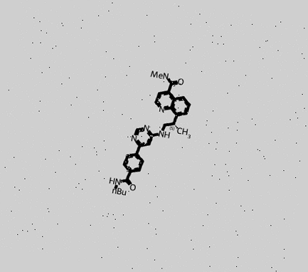 CCCCNC(=O)c1ccc(-c2cc(NC[C@@H](C)c3cccc4c(C(=O)NC)ccnc34)ncn2)cc1